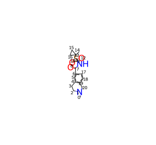 CN1CCc2cc(C(=O)NS(=O)(=O)C3(C)CC3)ccc2C1